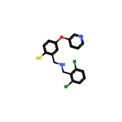 Sc1ccc(Oc2cccnc2)cc1CNCc1c(Cl)cccc1Cl